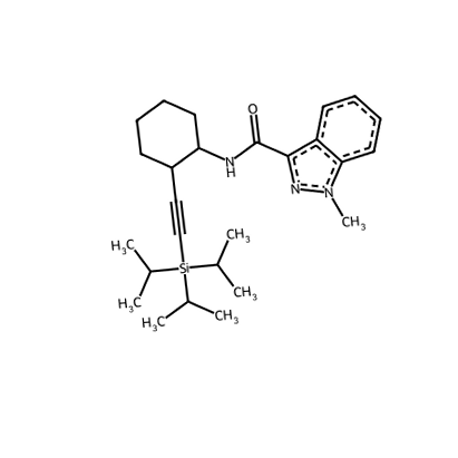 CC(C)[Si](C#CC1CCCCC1NC(=O)c1nn(C)c2ccccc12)(C(C)C)C(C)C